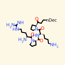 CCCCCCCCCCCCC(=O)[C@@H]1CCCN1C(=O)[C@H](CCCCN)NC(=O)[C@@H]1CCCN1C(=O)[C@@H](N)CCCNC(=N)N